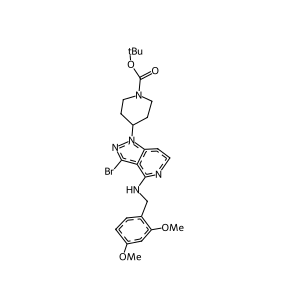 COc1ccc(CNc2nccc3c2c(Br)nn3C2CCN(C(=O)OC(C)(C)C)CC2)c(OC)c1